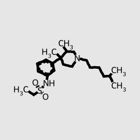 CCS(=O)(=O)Nc1cccc(C2(C)CCN(CCCCC(C)C)CC2C)c1